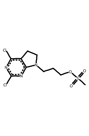 CS(=O)(=O)OCCCN1CCc2c(Cl)nc(Cl)nc21